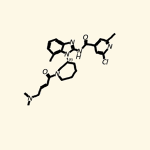 Cc1cc(C(=O)Nc2nc3cccc(C)c3n2[C@@H]2CCCCN(C(=O)C=CCN(C)C)C2)cc(Cl)n1